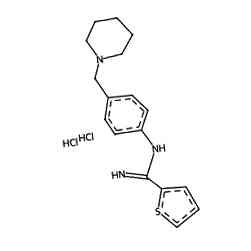 Cl.Cl.N=C(Nc1ccc(CN2CCCCC2)cc1)c1cccs1